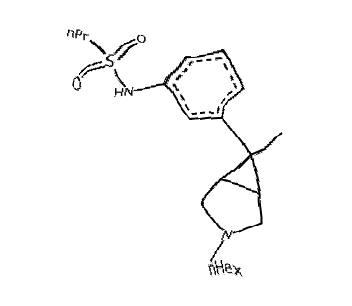 CCCCCCN1CC2C(C1)C2(C)c1cccc(NS(=O)(=O)CCC)c1